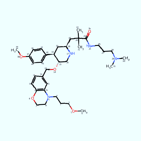 COCCCN1CCOc2ccc(CO[C@H]3CN[C@H](CC(C)(C)C(=O)NCCCN(C)C)C[C@@H]3c3ccc(OC)cc3)cc21